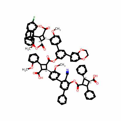 COc1ccccc1C1C(C(=O)O)[C@H](c2ccc(-c3cc(-c4ccccc4)cc(OC(=O)C4C(c5ccccc5)[C@H](C(=O)O)[C@@H]4c4ccccc4)c3C#N)cc2OC)C1C(=O)Oc1cc(-c2ccc3c(c2)OCCO3)cc(-c2ccc(OC)c([C@H]3C(C(=O)O)C(c4ccccc4OC)[C@H]3C(=O)Oc3cccc(-c4ccc(F)cc4)c3)c2)c1